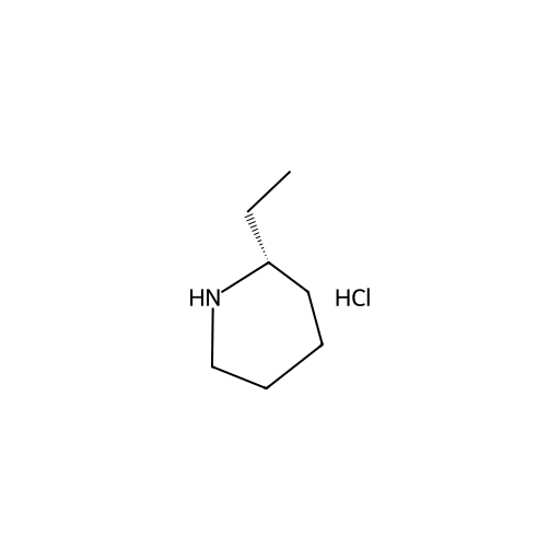 CC[C@@H]1CCCCN1.Cl